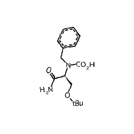 CC(C)(C)OC[C@@H](C(N)=O)N(Cc1ccccc1)C(=O)O